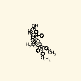 COc1ccc(COC(=O)C(C(=O)N[C@]2(OC)C(=O)N3C(C(=O)OC(c4ccccc4)c4ccccc4)=C(CSc4nnc(CC(=O)O)s4)CS[C@@H]32)c2ccccc2OCc2ccc(OC)cc2)cc1